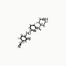 CN(c1cccc(OCc2ccc(C#N)cc2F)n1)C1CCNCC1